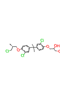 C[C@H](CCl)COc1ccc(C(C)(C)c2ccc(OC[C@@H](O)CO)c(Cl)c2)cc1Cl